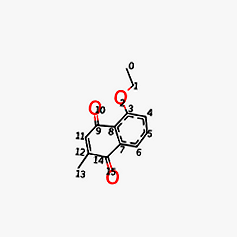 CCOc1cccc2c1C(=O)C=C(C)C2=O